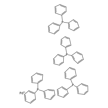 [Pd-2].c1ccc(P(c2ccccc2)c2ccccc2)cc1.c1ccc(P(c2ccccc2)c2ccccc2)cc1.c1ccc(P(c2ccccc2)c2ccccc2)cc1.c1ccc(P(c2ccccc2)c2ccccc2)cc1